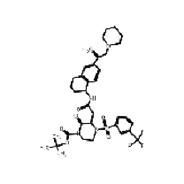 C=C(CN1CCCCC1)c1ccc2c(c1)CCCC2NC(=O)CC1C(=O)N(C(=O)OC(C)(C)C)CCN1S(=O)(=O)c1cccc(C(F)(F)F)c1